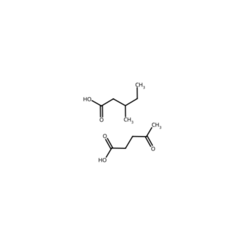 CC(=O)CCC(=O)O.CCC(C)CC(=O)O